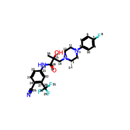 C[C@H]1CN(c2ccc(F)cc2)CCN1CC(C)(O)C(=O)Nc1ccc(C#N)c(C(F)(F)F)c1